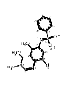 CCN(C)/C=N\c1cc(C)c(N=S(C)(=O)c2ccccc2)cc1Cl